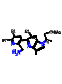 CCc1cc2c(nc1-c1cc(CC)c(C(C)C)nc1CN)c(C)cn2[C@H](C)COC